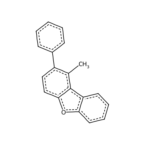 Cc1c(-c2ccccc2)ccc2oc3ccccc3c12